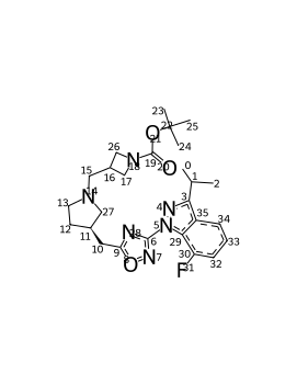 CC(C)c1nn(-c2noc(C[C@H]3CCN(CC4CN(C(=O)OC(C)(C)C)C4)C3)n2)c2c(F)cccc12